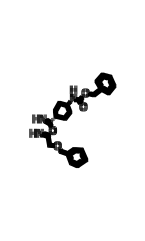 N=C(COCc1ccccc1)OC(=N)[C@H]1CC[C@H](NC(=O)OCc2ccccc2)CC1